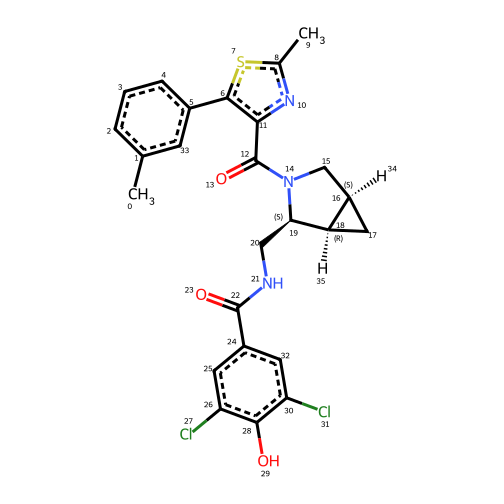 Cc1cccc(-c2sc(C)nc2C(=O)N2C[C@H]3C[C@H]3[C@H]2CNC(=O)c2cc(Cl)c(O)c(Cl)c2)c1